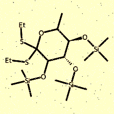 CCSC1(SCC)OC(C)[C@@H](O[Si](C)(C)C)[C@H](O[Si](C)(C)C)C1O[Si](C)(C)C